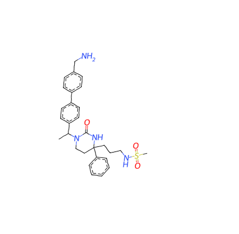 CC(c1ccc(-c2ccc(CN)cc2)cc1)N1CCC(CCCNS(C)(=O)=O)(c2ccccc2)NC1=O